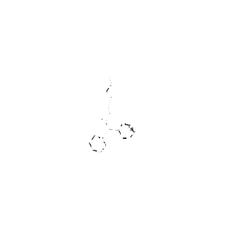 CC=CCCCNC(c1ccccc1)c1ccccc1.Cl